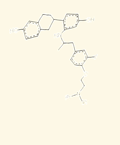 CC(Cc1ccc(OCCN(C(C)C)C(C)C)c(F)c1)Nc1cc(O)ccc1C1CCc2cc(O)ccc2C1